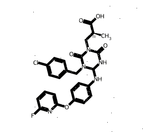 C[C@@H](CN1C(=O)NC(Nc2ccc(Oc3cccc(F)n3)cc2)N(Cc2ccc(Cl)cc2)C1=O)C(=O)O